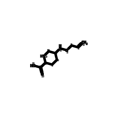 C=CCONC1CCC(C(=O)O)NC1